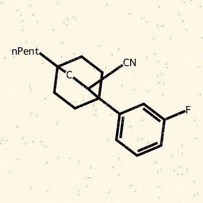 CCCCCC12CCC(c3cccc(F)c3)(CC1)C(C#N)C2